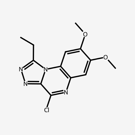 CCc1nnc2c(Cl)nc3cc(OC)c(OC)cc3n12